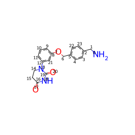 NCc1ccc(COc2cccc(N3CCC(=O)NC3=O)c2)cc1